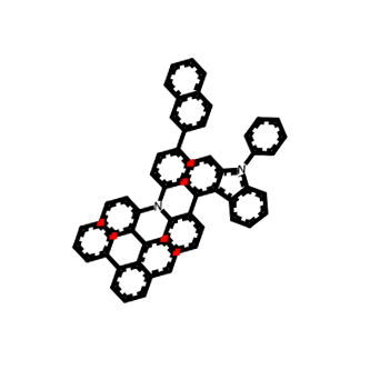 c1ccc(-c2cccc3cccc(-c4ccccc4N(c4ccc(-c5ccc6ccccc6c5)cc4)c4ccccc4-c4cccc5c4c4ccccc4n5-c4ccccc4)c23)cc1